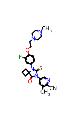 Cc1cc(N2C(=O)C3(CCC3)N(c3ccc(OCCN4CCN(C)CC4)c(F)c3)C2=S)cnc1C#N